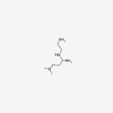 CN(C)CCC(N)NCCN